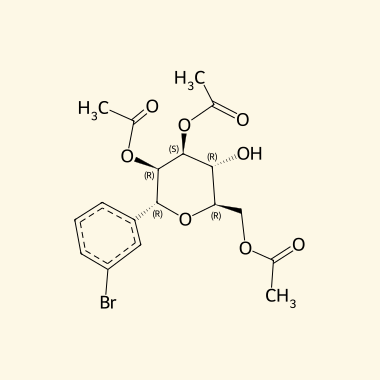 CC(=O)OC[C@H]1O[C@H](c2cccc(Br)c2)[C@@H](OC(C)=O)[C@@H](OC(C)=O)[C@@H]1O